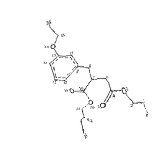 CCCOC(=O)CC(Cc1cccc(OCC)c1)C(=O)OCCC